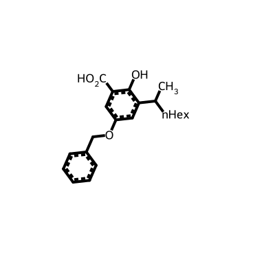 CCCCCCC(C)c1cc(OCc2ccccc2)cc(C(=O)O)c1O